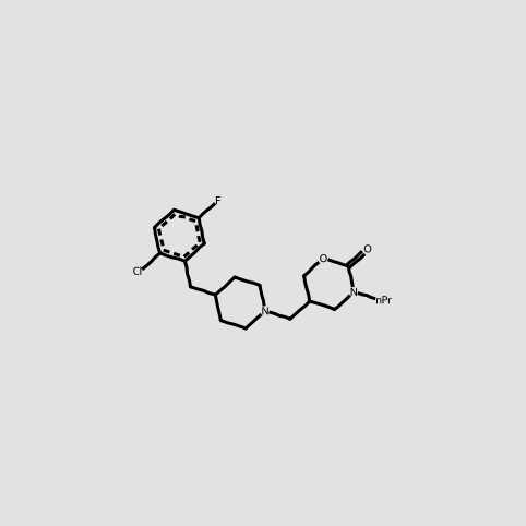 CCCN1CC(CN2CCC(Cc3cc(F)ccc3Cl)CC2)COC1=O